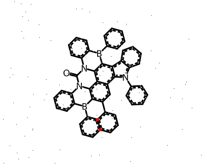 O=C1N2c3ccccc3B(c3ccccc3)c3c(-c4ccccc4)cc4c(c32)c2c(c3c5ccccc5n(-c5ccccc5)c43)B(c3ccccc3)c3ccccc3N12